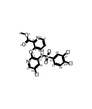 COC(=O)c1ncccc1Oc1ncc(Cl)cc1NS(=O)(=O)c1ccc(Cl)c(Cl)c1